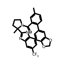 Cc1ccc(-c2ccc3c(c2)OCO3)c(C(=O)N2CCCC2(C)c2nc3cc(C(F)(F)F)ccc3[nH]2)c1